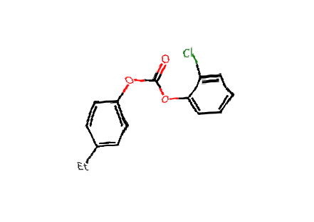 CCc1ccc(OC(=O)Oc2ccccc2Cl)cc1